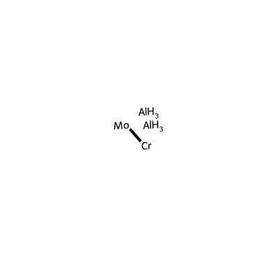 [AlH3].[AlH3].[Cr][Mo]